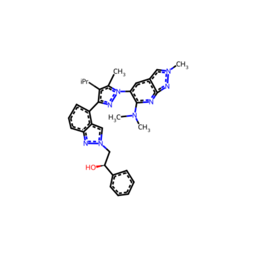 Cc1c(C(C)C)c(-c2cccc3nn(C[C@H](O)c4ccccc4)cc23)nn1-c1cc2cn(C)nc2nc1N(C)C